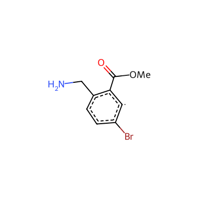 COC(=O)c1[c]c(Br)ccc1CN